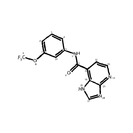 O=C(Nc1cccc(OC(F)(F)F)c1)c1ccnc2nc[nH]c12